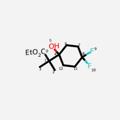 CCOC(=O)C(C)(C)C1(O)CCC(F)(F)CC1